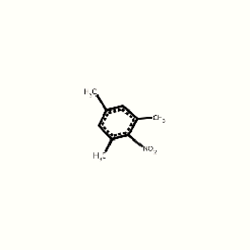 Cc1cc(C)c([N+](=O)[O-])c(C)c1